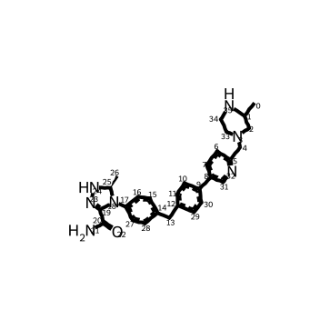 CC1CN(Cc2ccc(-c3ccc(Cc4ccc(N5C(C(N)=O)=NN[C@H]5C)cc4)cc3)cn2)CCN1